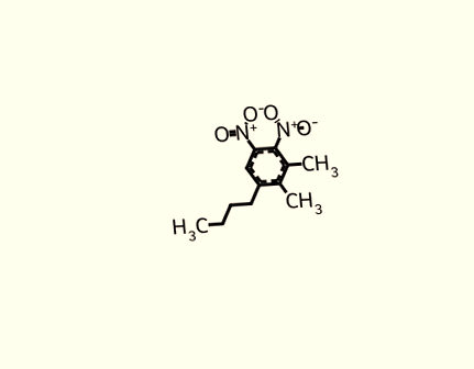 CCCCc1cc([N+](=O)[O-])c([N+](=O)[O-])c(C)c1C